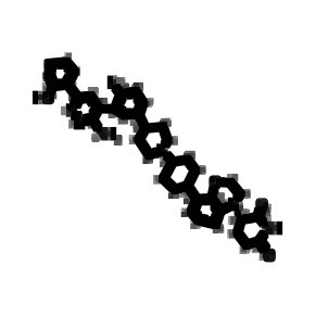 Nc1nnc(-c2ccccc2O)cc1-c1cc(C2CCN(C3CCC(c4cccc5c4OCCN5[C@H]4CCC(=O)NC4=O)CC3)CC2)ccc1F